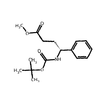 COC(=O)CC[C@@H](NC(=O)OC(C)(C)C)c1ccccc1